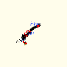 CCCN(CCc1cccs1)[C@@H]1CCc2c(cccc2OC(=O)CCNC(=O)CCCCCCCCCCCCC(=O)NCC)C1